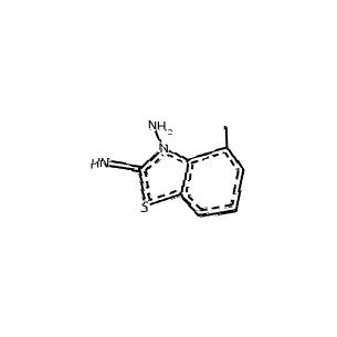 Cc1cccc2sc(=N)n(N)c12